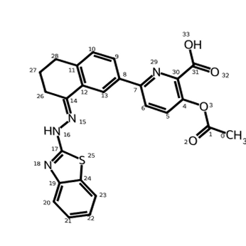 CC(=O)Oc1ccc(-c2ccc3c(c2)C(=NNc2nc4ccccc4s2)CCC3)nc1C(=O)O